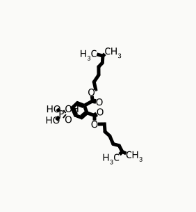 CC(C)CCCCCOC(=O)c1ccccc1C(=O)OCCCCCC(C)C.O=P(O)(O)O